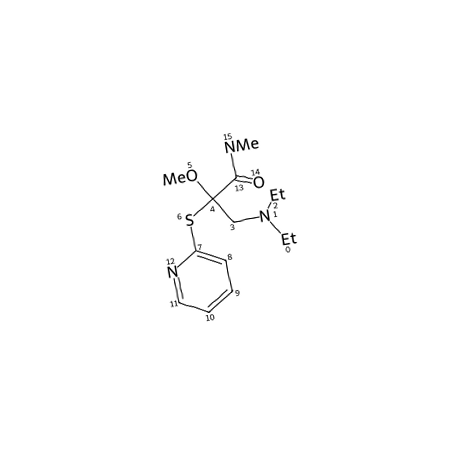 CCN(CC)CC(OC)(Sc1ccccn1)C(=O)NC